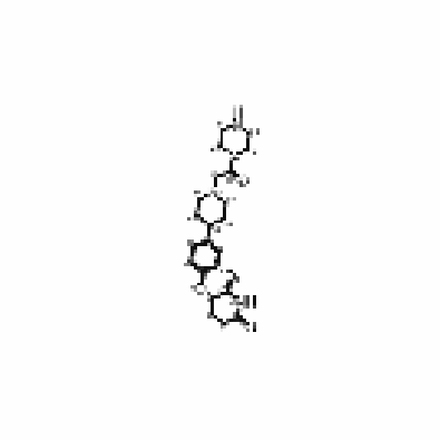 O=C1CC[C@H](Oc2ccc(C3CCN(CC(=O)N4CCNCC4)CC3)cc2)C(=O)N1